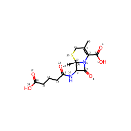 CC1=C(C(=O)O)N2C(=O)C(NC(=O)CCCC(=O)O)[C@@H]2SC1